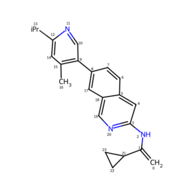 C=C(Nc1cc2ccc(-c3cnc(C(C)C)cc3C)cc2cn1)C1CC1